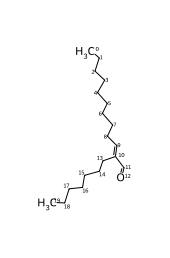 CCCCCCCCC/C=C(/C=O)CCCCCCC